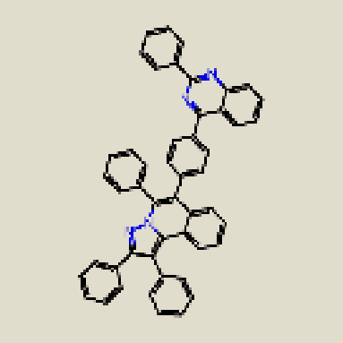 c1ccc(-c2nc(-c3ccc(-c4c(-c5ccccc5)n5nc(-c6ccccc6)c(-c6ccccc6)c5c5ccccc45)cc3)c3ccccc3n2)cc1